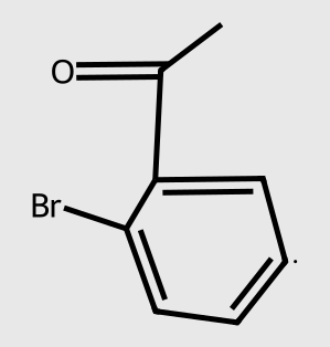 CC(=O)c1c[c]ccc1Br